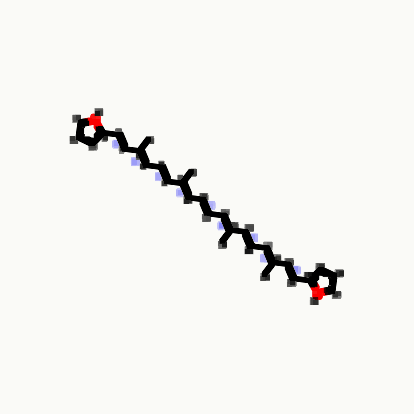 CC(/C=C/C=C(C)/C=C/c1ccco1)=C\C=C\C=C(C)\C=C\C=C(C)\C=C\c1ccco1